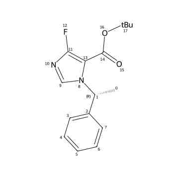 C[C@H](c1ccccc1)n1cnc(F)c1C(=O)OC(C)(C)C